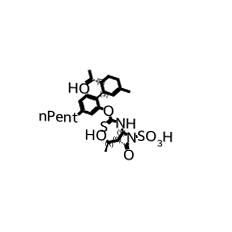 C=C(C)[C@@H]1CCC(C)=C[C@H]1c1c(O)cc(CCCCC)cc1OC(=S)N[C@@H]1[C@@H]([C@@H](C)O)C(=O)N1S(=O)(=O)O